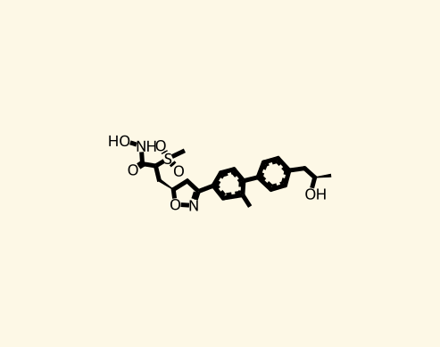 Cc1cc(C2=NO[C@@H](CC(C(=O)NO)S(C)(=O)=O)C2)ccc1-c1ccc(C[C@@H](C)O)cc1